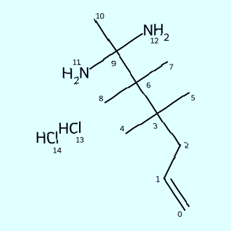 C=CCC(C)(C)C(C)(C)C(C)(N)N.Cl.Cl